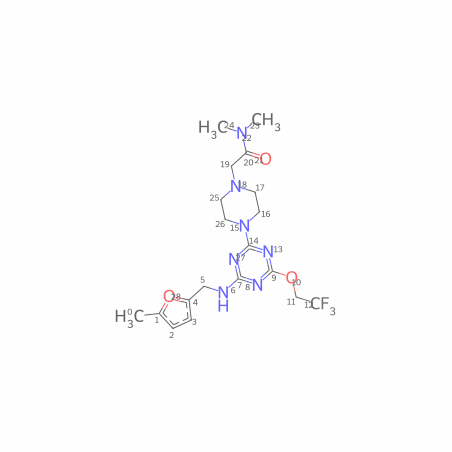 Cc1ccc(CNc2nc(OCC(F)(F)F)nc(N3CCN(CC(=O)N(C)C)CC3)n2)o1